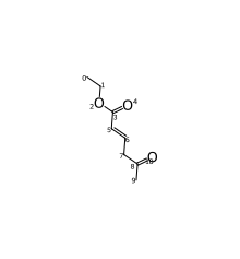 CCOC(=O)C=CCC(C)=O